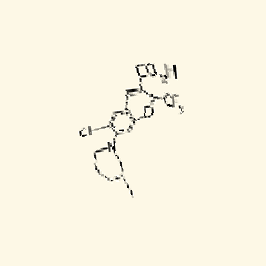 CC1CCCN(c2cc3c(cc2Cl)C=C(C(=O)O)C(C(F)(F)F)O3)C1